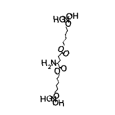 NC(CCC(=O)OCCCCCCON(O)O)C(=O)OCCCCCCON(O)O